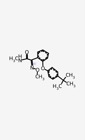 CNC(=O)/C(=N/OC)c1ccccc1Oc1ccc(C(C)(C)C)cc1